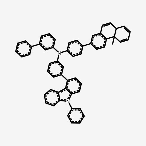 CC12C=CC=CC1C=Cc1cc(-c3ccc(N(c4cccc(-c5ccccc5)c4)c4cccc(-c5cccc6c5c5ccccc5n6-c5ccccc5)c4)cc3)ccc12